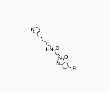 CC(C)c1ccc2ncn(/C=C/C(=O)NCCCCCCc3cccnc3)c(=O)c2c1